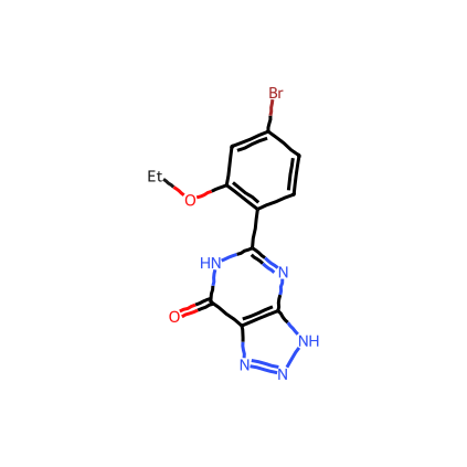 CCOc1cc(Br)ccc1-c1nc2[nH]nnc2c(=O)[nH]1